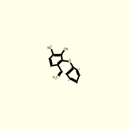 C=Cc1ccc(C#N)c(C#N)c1Oc1ccccc1